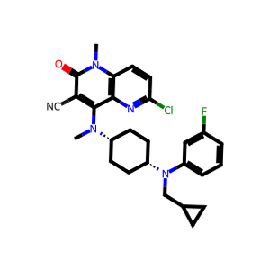 Cn1c(=O)c(C#N)c(N(C)[C@H]2CC[C@@H](N(CC3CC3)c3cccc(F)c3)CC2)c2nc(Cl)ccc21